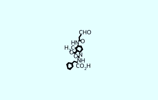 Cc1c(NC(=O)CCC=O)ccc2nc(N[C@@H](Cc3ccccc3)C(=O)O)oc(=O)c12